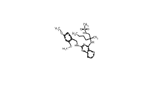 CCCCC(C)(CNS(C)(=O)=O)Nc1nc(NCc2ccc(OC)cc2OC)nc2cccnc12